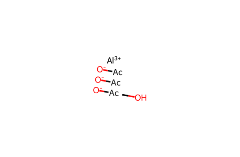 CC(=O)[O-].CC(=O)[O-].CC(=O)[O-].CO.[Al+3]